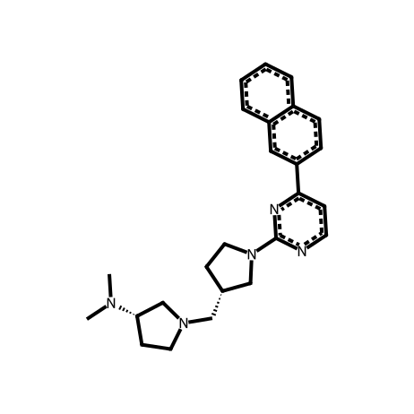 CN(C)[C@H]1CCN(C[C@@H]2CCN(c3nccc(-c4ccc5ccccc5c4)n3)C2)C1